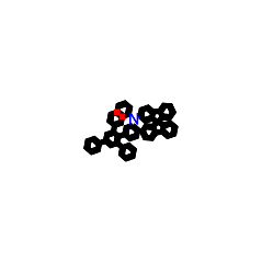 c1ccc(-c2cc(-c3ccccc3)c(-c3cccc(N(c4ccccc4)c4ccc5c(c4)C4(c6ccccc6-c6ccccc64)c4ccccc4-5)c3)c(-c3ccccc3)c2)cc1